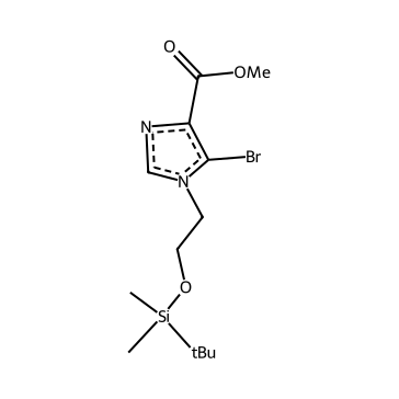 COC(=O)c1ncn(CCO[Si](C)(C)C(C)(C)C)c1Br